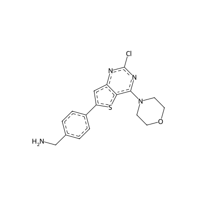 NCc1ccc(-c2cc3nc(Cl)nc(N4CCOCC4)c3s2)cc1